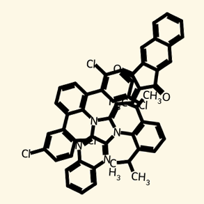 CC(C)c1cccc(C(C)C)c1N1/C(=C\C=C2C(=O)c3cc4ccccc4cc3C2=O)N(c2c(-c3cc(Cl)ccc3Cl)cccc2-c2cc(Cl)ccc2Cl)c2nc3ccccc3nc21